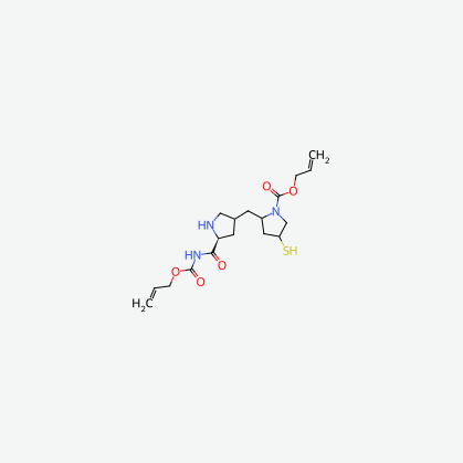 C=CCOC(=O)NC(=O)[C@@H]1CC(CC2CC(S)CN2C(=O)OCC=C)CN1